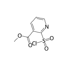 COC(=O)c1cccnc1S(=O)(=O)Cl